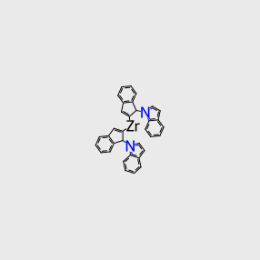 C1=[C]([Zr][C]2=Cc3ccccc3C2n2ccc3ccccc32)C(n2ccc3ccccc32)c2ccccc21